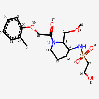 COCC1[C@@H](NS(=O)(=O)CCO)CCCN1C(=O)COc1ccccc1C